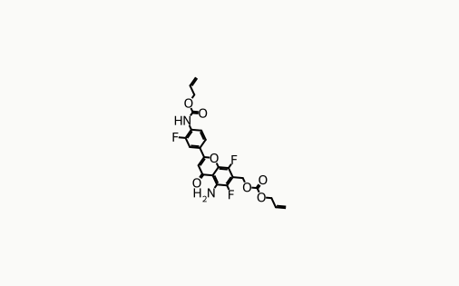 C=CCOC(=O)Nc1ccc(-c2cc(=O)c3c(N)c(F)c(COC(=O)OCC=C)c(F)c3o2)cc1F